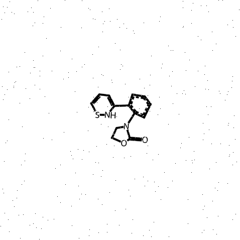 O=C1OCCN1c1ccccc1C1=CC=CSN1